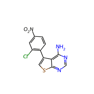 Nc1ncnc2scc(-c3ccc([N+](=O)[O-])cc3Cl)c12